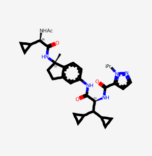 CC(=O)N[C@@H](C(=O)N[C@@]1(C)CCc2cc(NC(=O)[C@@H](NC(=O)c3ccnn3C(C)C)C(C3CC3)C3CC3)ccc21)C1CC1